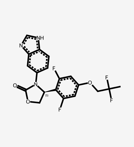 CC(F)(F)COc1cc(F)c([C@H]2COC(=O)N2c2ccc3[nH]cnc3c2)c(F)c1